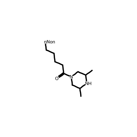 CCCCCCCCCCCCCC(=O)N1CC(C)NC(C)C1